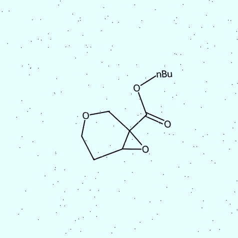 CCCCOC(=O)C12COCCC1O2